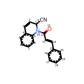 N#CC1C=Cc2ccccc2N1C(=O)C=Cc1ccccc1